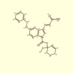 CCC1(CC(=O)n2cc(/C=C/C(=O)O)c3cc(OCc4ccccc4)ccc32)C=CCCC1